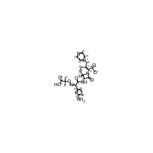 CC(C)(O/N=C(\C(=O)NC1C(=O)N2C(C(=O)[O-])=C(C[n+]3ccncc3)CS[C@H]12)c1csc(N)n1)C(=O)O